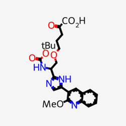 COc1nc2ccccc2cc1-c1cnc(C(COCCCC(=O)C(=O)O)NC(=O)OC(C)(C)C)[nH]1